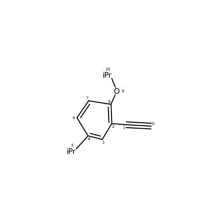 C#Cc1cc(C(C)C)ccc1OC(C)C